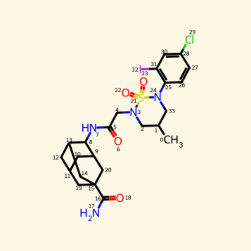 CC1CN(CC(=O)NC2C3CC4CC2CC(C(N)=O)(C4)C3)S(=O)(=O)N(c2ccc(Cl)cc2I)C1